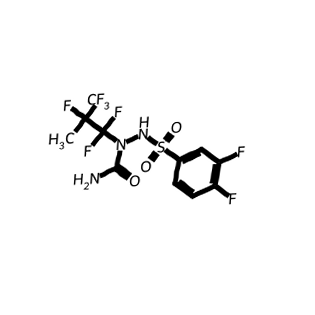 CC(F)(C(F)(F)F)C(F)(F)N(NS(=O)(=O)c1ccc(F)c(F)c1)C(N)=O